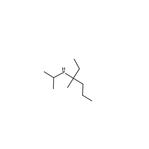 CCCC(C)(CC)PC(C)C